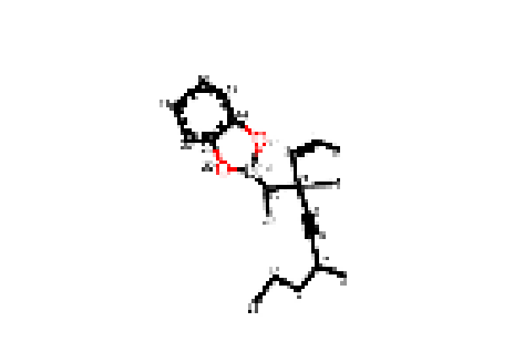 C/C=C\[C@](C)(C#CC(C)CCC)C(C)B1Oc2ccccc2O1